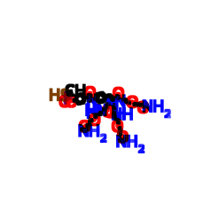 CCP(=O)(S)OC1CCC(C(=O)Nc2ccc(CC(C(=O)NCCOCCON)N(CC(=O)NCCOCCON)CC(=O)NCCOCCON)cc2)CC1